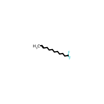 C/C=C/CCCCCCCCC(F)F